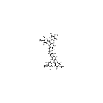 Cc1cc(N(c2cc(C)c(C(C)C)c(C)c2)c2ccc3cc4c(cc3c2)oc2cc3cc(N(c5cc(C)c(C(C)C)c(C)c5)c5cc(C)c(C(C)C)c(C)c5)ccc3cc24)cc(C)c1C(C)C